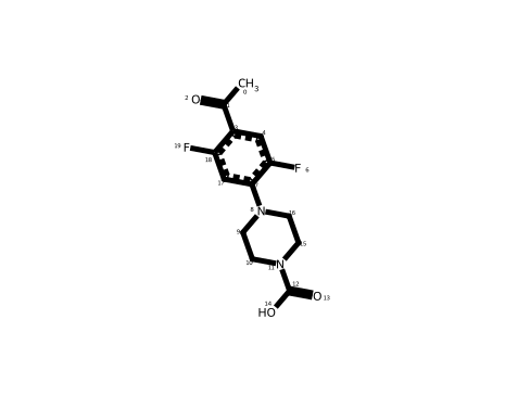 CC(=O)c1cc(F)c(N2CCN(C(=O)O)CC2)cc1F